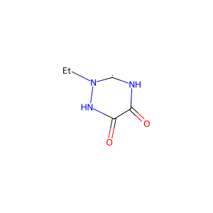 CCN1[CH]NC(=O)C(=O)N1